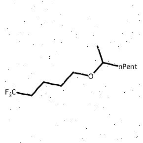 CCCCCC(C)OCCCCC(F)(F)F